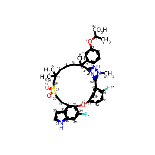 CC(Oc1cccc(C2(C)CCCC(C)(C)CS(=O)(=O)CCc3c(c(F)cc4[nH]ccc34)Oc3ccc(F)c(c3)-c3nc2nn3C)c1)C(=O)O